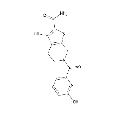 NC(=O)c1sc2c(c1O)CCN(C(=O)c1cccc(O)n1)C2